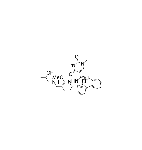 COc1nc(C2(NC(=O)c3cn(C)c(=O)n(C)c3=O)C=CC=C(c3ccccc3Cl)[C@H]2Cl)ccc1CNCC(C)O